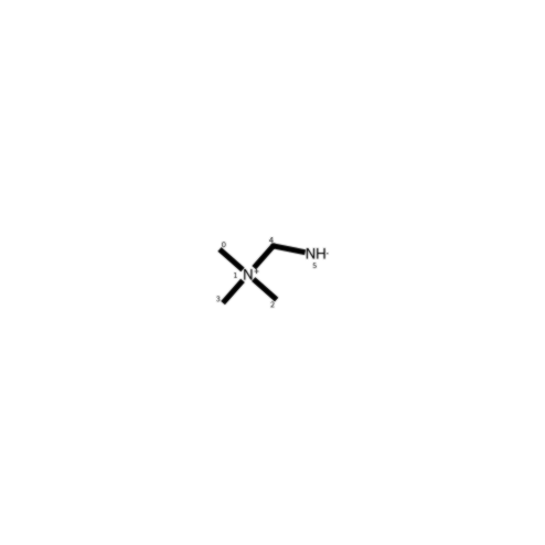 C[N+](C)(C)C[NH]